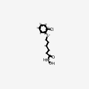 O=C(CCCCCSc1ccccc1Cl)NO